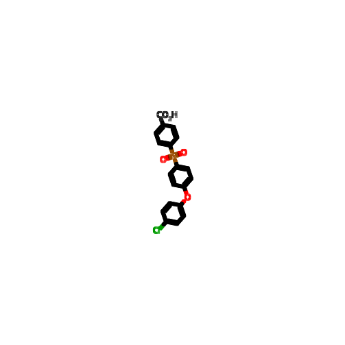 O=C(O)c1ccc(S(=O)(=O)c2ccc(Oc3ccc(Cl)cc3)cc2)cc1